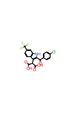 O=C(c1ccc(Cl)cc1)c1[nH]c2cc(C(F)(F)F)ccc2c1C(C(=O)O)C(=O)O